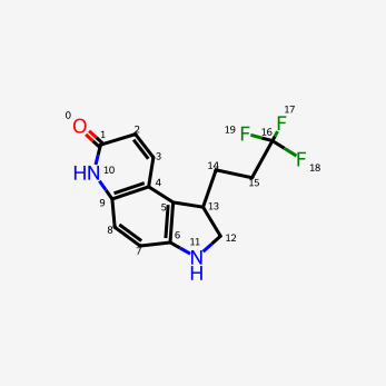 O=c1ccc2c3c(ccc2[nH]1)NCC3CCC(F)(F)F